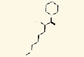 COCCCCC(O)C(=O)N1CCCCC1